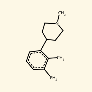 Cc1c(P)cccc1C1CCN(C)CC1